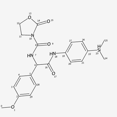 COc1ccc(C(NC(=O)N2CCOC2=O)C(=O)Nc2ccc([SiH](C)C)cc2)cc1